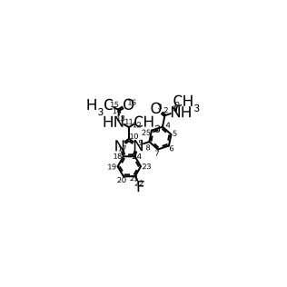 CNC(=O)c1cccc(-n2c(C(C)NC(C)=O)nc3ccc(F)cc32)c1